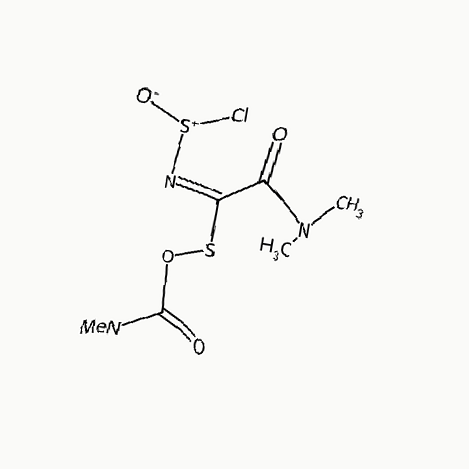 CNC(=O)OSC(=N[S+]([O-])Cl)C(=O)N(C)C